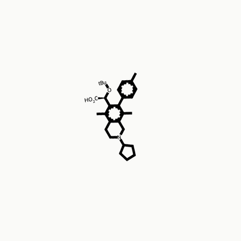 Cc1ccc(-c2c(C)c3c(c(C)c2[C@H](OC(C)(C)C)C(=O)O)CCN(C2CCCC2)C3)cc1